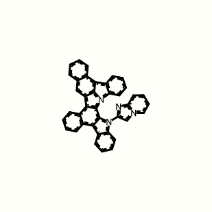 c1ccc2c(c1)cc1c3c4ccccc4c4c5ccccc5n(-c5cn6ccccc6n5)c4c3n3c4ccccc4c2c13